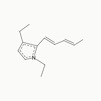 CC=CC=Cc1c(CC)ccn1CC